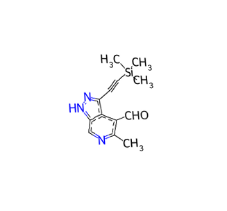 Cc1ncc2[nH]nc(C#C[Si](C)(C)C)c2c1C=O